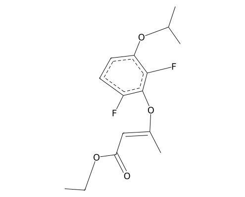 CCOC(=O)C=C(C)Oc1c(F)ccc(OC(C)C)c1F